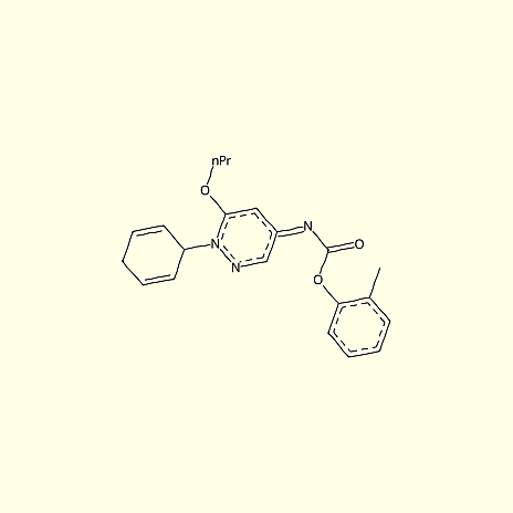 CCCOc1cc(=NC(=O)Oc2ccccc2C)cnn1C1C=CCC=C1